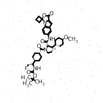 CO[C@H]1CC[C@H]([C@@H]2CCN(C(=O)[C@H]3CC[C@H]([C@@H](CF)NC(=O)OC(C)(C)C)CC3)[C@@H]2C(=O)Nc2ccc3c(c2)cc2n3C3(CCC3)OC2=O)CC1